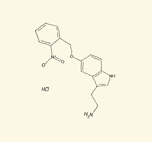 Cl.NCCc1c[nH]c2ccc(OCc3ccccc3[N+](=O)[O-])cc12